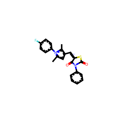 Cc1cc(/C=C2/SC(=O)N(c3ccccc3)C2=O)c(C)n1-c1ccc(F)cc1